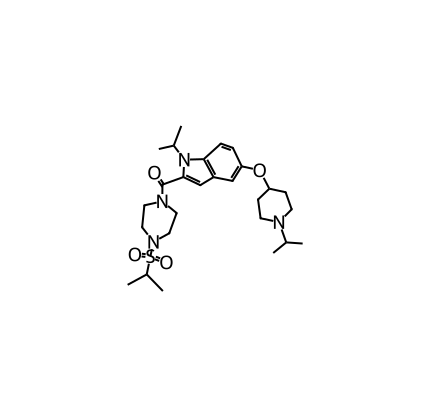 CC(C)N1CCC(Oc2ccc3c(c2)cc(C(=O)N2CCN(S(=O)(=O)C(C)C)CC2)n3C(C)C)CC1